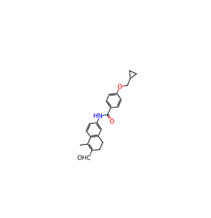 CC1=C(C=O)CCc2cc(NC(=O)c3ccc(OCC4CC4)cc3)ccc21